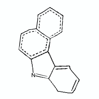 C1=CCC2=Nc3ccc4ccccc4c3C2=C1